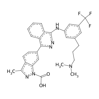 Cc1nn(C(=O)O)c2cc(-c3nnc(Nc4cc(CCCN(C)C)cc(C(F)(F)F)c4)c4ccccc34)ccc12